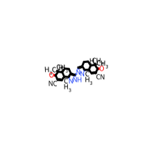 CC1(C)C(=O)C(C#N)=C[C@]2(C)c3nn(-c4[nH]nc5c4CC[C@H]4C(C)(C)C(=O)C(C#N)=C[C@]54C)cc3CC[C@@H]12